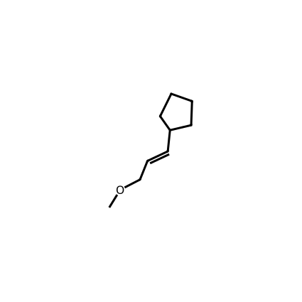 COC/C=C/C1CCCC1